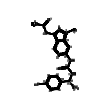 CC(C)n1nc(OC(N)=O)c2cnc(NC(=O)N[C@H](C)c3ccc(F)cc3)cc21